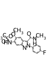 CNC(=O)c1c2cc(OC)c(NS(C)(=O)=O)cc2nn1-c1ccc(F)cc1